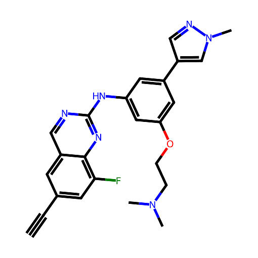 C#Cc1cc(F)c2nc(Nc3cc(OCCN(C)C)cc(-c4cnn(C)c4)c3)ncc2c1